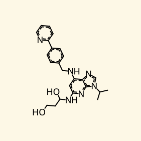 CC(C)n1cnc2c(NCc3ccc(-c4ccccn4)cc3)cc(NC(O)CCO)nc21